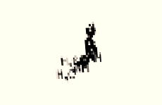 CCCN[C@@H](C)c1ccc(Nc2ncc3cc(-c4ccncc4)ccc3n2)cc1